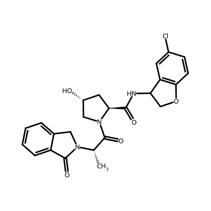 C[C@@H](C(=O)N1C[C@H](O)C[C@H]1C(=O)NC1COc2ccc(Cl)cc21)N1Cc2ccccc2C1=O